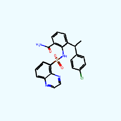 CC(c1ccc(Cl)cc1)c1cccc(C(N)=O)c1NS(=O)(=O)c1cccc2nccnc12